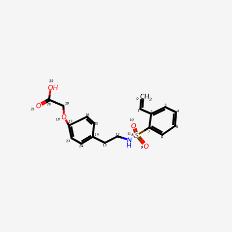 C=Cc1ccccc1S(=O)(=O)NCCc1ccc(OCC(=O)O)cc1